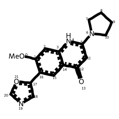 COc1cc2[nH]c(N3CCCC3)cc(=O)c2cc1-c1cnco1